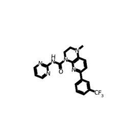 CN1CCN(C(=O)Nc2ncccn2)c2nc(-c3cccc(C(F)(F)F)c3)ccc21